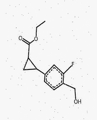 CCOC(=O)C1CC1c1ccc(CO)c(F)c1